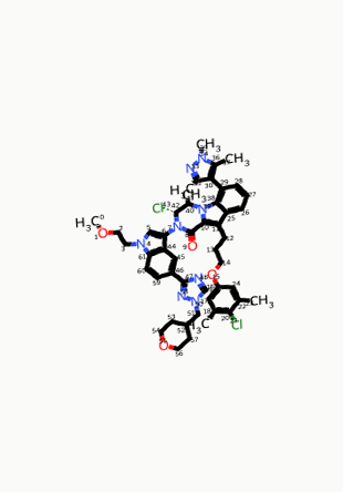 COCCn1cc(N2C(=O)c3c(CCCOc4cc(C)c(Cl)c(C)c4)c4cccc(-c5c(C)nn(C)c5C)c4n3C(C)[C@H]2Cl)c2cc(-c3ncn(CC4CCOCC4)n3)ccc21